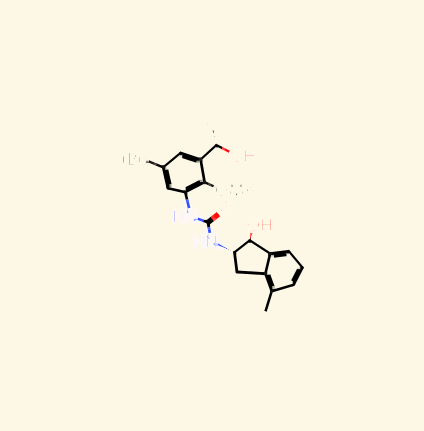 COc1c(NC(=O)N[C@@H]2Cc3c(C)cccc3[C@@H]2O)cc(C(C)(C)C)cc1[C@@H](O)C(F)(F)F